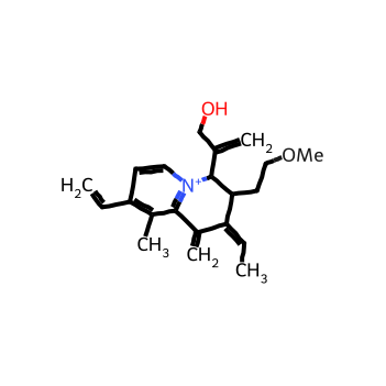 C=Cc1cc[n+]2c(c1C)C(=C)/C(=C\C)C(CCOC)C2C(=C)CO